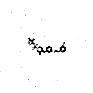 COc1cccc(CCOc2cccc(/C=C3\CCN(C(=O)Nc4noc(C)c4C)CC3C)c2)c1